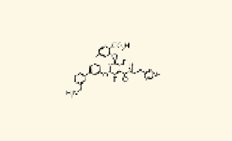 Cc1ccc(C(=O)O)c(Oc2nc(Oc3cccc(-c4cccc(CN)c4)c3)c(F)c(C(=O)NCCc3c[nH]cn3)c2F)c1